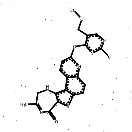 CCOCc1cnc(Cl)nc1Oc1ccc2c(ccc3sc4c(c32)NCC(C)=NC4=O)n1